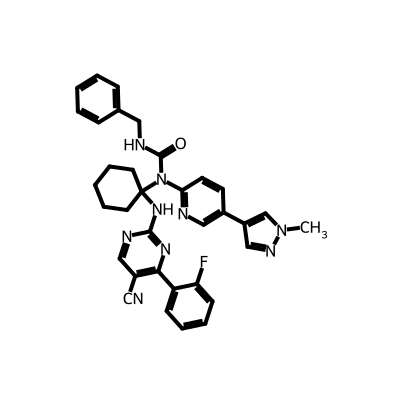 Cn1cc(-c2ccc(N(C(=O)NCc3ccccc3)C3(Nc4ncc(C#N)c(-c5ccccc5F)n4)CCCCC3)nc2)cn1